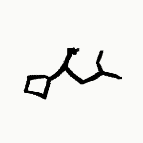 [CH2]C(C)CC(Br)C1CCC1